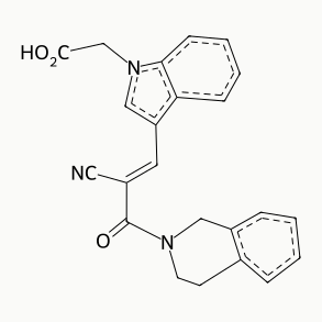 N#CC(=Cc1cn(CC(=O)O)c2ccccc12)C(=O)N1CCc2ccccc2C1